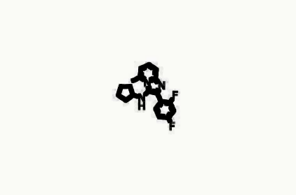 Cc1cccc2nc(-c3ccc(F)cc3F)c(NC3CCCC3)n12